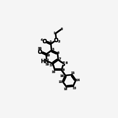 CCOC(=O)c1cc2sc(-c3ccccc3)cc2[nH]c1=O